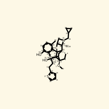 CO[C@]12CC[C@@]3(CC1[C@](C)(O)CCc1cccs1)[C@H]1C(CN1CC1CC1)C[C@@]31c3c(C)ccc(O)c3O[C@@]12C